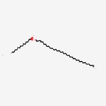 CCCCCCCCC=CCCCCCCCCCCCC(=O)OCCCCCCCCCCCCCCCCCCCCCCCCCCCCCCCCCCCC(=O)O